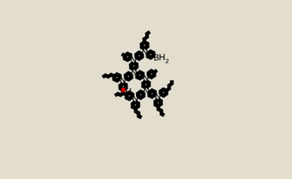 Bc1ccc(N(c2ccc(CCCC)cc2)c2ccc(N(c3ccc(C)cc3)c3ccc(N(c4ccc(N(c5ccc(B)cc5)c5ccc(CCCC)cc5)cc4)c4ccc(N(c5ccc(C)cc5)c5ccc(N(c6ccc(N(c7ccc(CCCC)cc7)c7ccc(CCCC)cc7)cc6)c6ccc(N(c7ccc(CCCC)cc7)c7ccc(CCCC)cc7)cc6)cc5)cc4)cc3)cc2)cc1